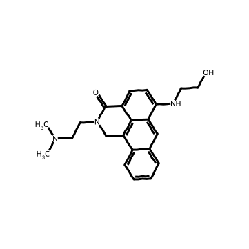 CN(C)CCN1Cc2c3ccccc3cc3c(NCCO)ccc(c23)C1=O